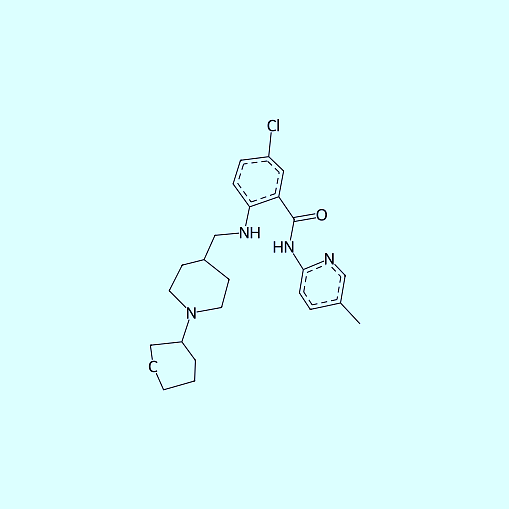 Cc1ccc(NC(=O)c2cc(Cl)ccc2NCC2CCN(C3CCCCC3)CC2)nc1